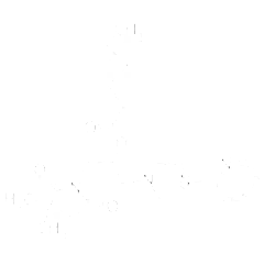 CCCCCC(=O)OC(CN1CCN(c2ccccn2)CC1)CN1C(=O)CC(C)(C)C1=O